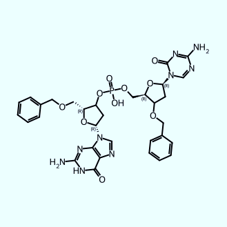 Nc1ncn([C@H]2CC(OCc3ccccc3)[C@@H](COP(=O)(O)OC3C[C@H](n4cnc5c(=O)[nH]c(N)nc54)O[C@@H]3COCc3ccccc3)O2)c(=O)n1